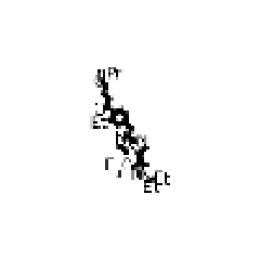 CCCOCCCC(=O)c1ccc(Cc2nccn3c(-c4cn(C(CC)CC)nc4C(F)(F)F)cnc23)cc1CC